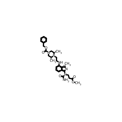 COC(=O)CCN(C(N)=O)c1nn(C)c2c(NCCN3[C@H](C)CN(C(=O)OCc4ccccc4)C[C@@H]3C)cccc12